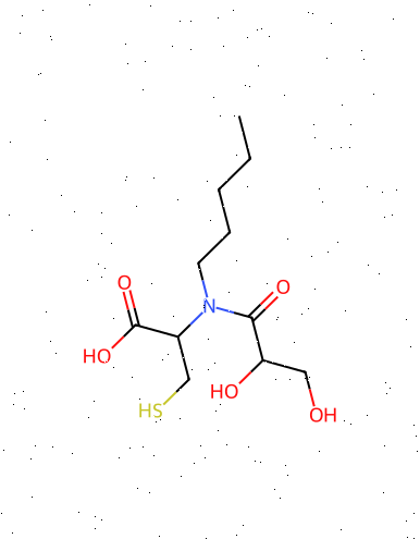 CCCCCN(C(=O)C(O)CO)C(CS)C(=O)O